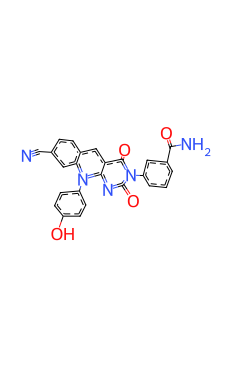 N#Cc1ccc2cc3c(=O)n(-c4cccc(C(N)=O)c4)c(=O)nc-3n(-c3ccc(O)cc3)c2c1